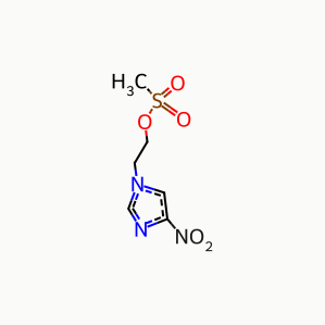 CS(=O)(=O)OCCn1cnc([N+](=O)[O-])c1